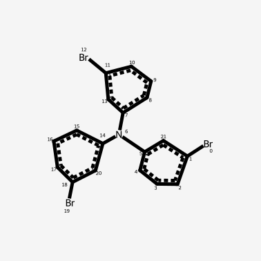 Brc1cccc(N(c2cccc(Br)c2)c2cccc(Br)c2)c1